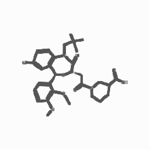 COc1cccc([C@@H]2S[C@@H](CC(=O)N3CCCC(C(=O)O)C3)C(=O)N(CC(C)(C)C)c3ccc(Cl)cc32)c1OC